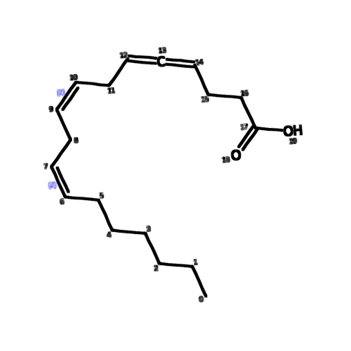 CCCCCC/C=C\C/C=C\CC=C=CCCC(=O)O